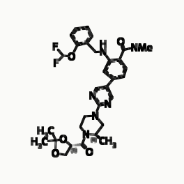 CNC(=O)c1ccc(-c2cnc(N3CCN(C(=O)[C@@H]4COC(C)(C)O4)[C@H](C)C3)nc2)cc1NCc1ccccc1OC(F)F